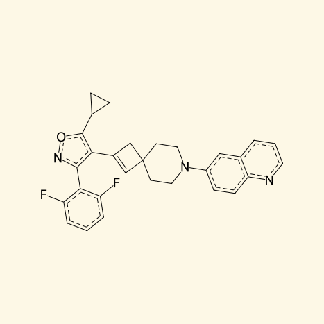 Fc1cccc(F)c1-c1noc(C2CC2)c1C1=CC2(CCN(c3ccc4ncccc4c3)CC2)C1